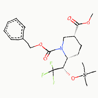 COC(=O)[C@@H]1CC[C@H]([C@H](O[Si](C)(C)C)C(F)(F)F)N(C(=O)OCc2ccccc2)C1